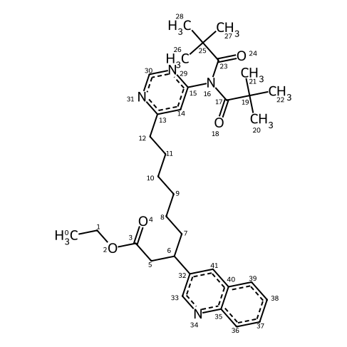 CCOC(=O)CC(CCCCCCc1cc(N(C(=O)C(C)(C)C)C(=O)C(C)(C)C)ncn1)c1cnc2ccccc2c1